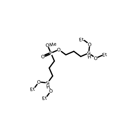 CCO[SiH](CCCOP(=O)(CCC[SiH](OCC)OCC)OC)OCC